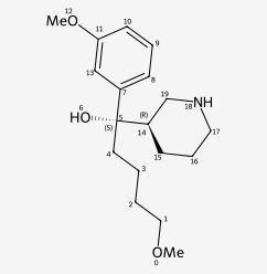 COCCCC[C@@](O)(c1cccc(OC)c1)[C@@H]1CCCNC1